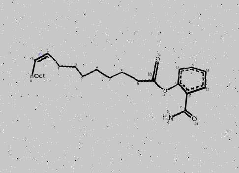 CCCCCCCC/C=C\CCCCCCCC(=O)Oc1ccccc1C(N)=O